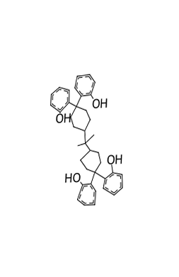 CC(C)(C1CCC(c2ccccc2O)(c2ccccc2O)CC1)C1CCC(c2ccccc2O)(c2ccccc2O)CC1